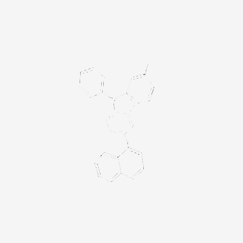 Cc1ccc2c3cc(-c4cccc5ccccc45)ccc3n(-c3ccccc3)c2c1